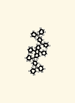 C1=CCCC(c2c3cc(N(c4ccccc4)c4ccc(N(c5ccccc5)c5ccccc5)cc4)ccc3c(-c3ccccc3)c3cc(N(c4ccccc4)c4ccc(N(c5ccccc5)c5ccccc5)cc4)ccc23)=C1